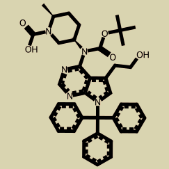 C[C@H]1CC[C@@H](N(C(=O)OC(C)(C)C)c2ncnc3c2c(CCO)cn3C(c2ccccc2)(c2ccccc2)c2ccccc2)CN1C(=O)O